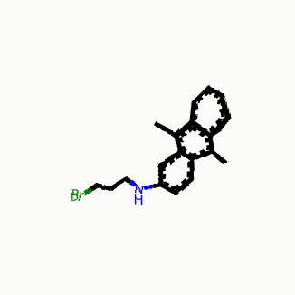 Cc1c2ccccc2c(C)c2cc(NCCCBr)ccc12